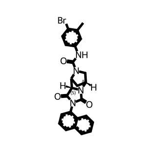 Cc1cc(NC(=O)N2C[C@H]3CC2[C@H]2C(=O)N(c4cccc5ccccc45)C(=O)N32)ccc1Br